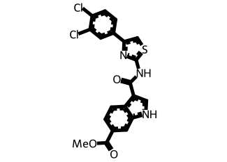 COC(=O)c1ccc2c(C(=O)Nc3nc(-c4ccc(Cl)c(Cl)c4)cs3)c[nH]c2c1